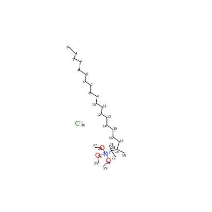 CCCCCCCCCCCCCCCCCCC(C)C(C)(C)[N+](OC)(OC)OC.[Cl-]